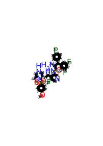 COc1ccc(S(=O)(=O)N2[C@@H](CCc3c(F)cncc3NC(=O)[C@@H](N)[C@@H](c3ccc(F)cc3)c3cc(F)cc(F)c3)CNC[C@@H]2C)cc1